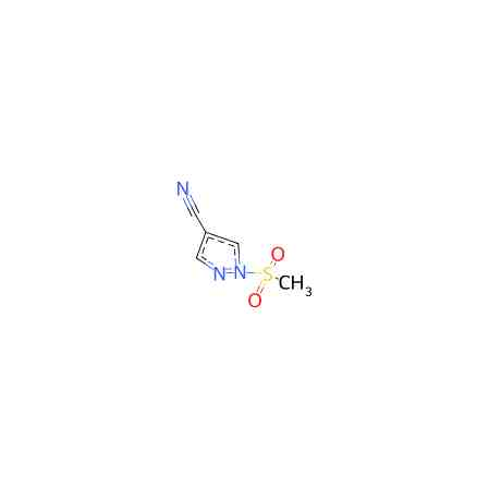 CS(=O)(=O)n1cc(C#N)cn1